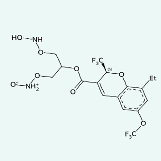 CCc1cc(OC(F)(F)F)cc2c1O[C@H](C(F)(F)F)C(C(=O)OC(CONO)CO[NH2+][O-])=C2